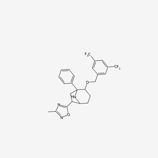 Cc1noc(C2CC3(c4ccccc4)NC2CCC3OCc2cc(C(F)(F)F)cc(C(F)(F)F)c2)n1